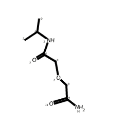 CC(C)NC(=O)COCC(N)=O